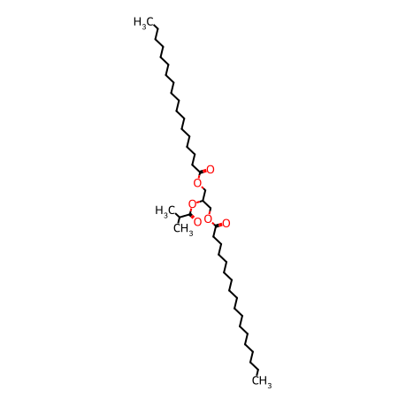 CCCCCCCCCCCCCCCCCC(=O)OCC(COC(=O)CCCCCCCCCCCCCCCCC)OC(=O)C(C)C